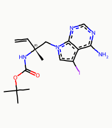 C=C[C@](C)(Cn1cc(I)c2c(N)ncnc21)NC(=O)OC(C)(C)C